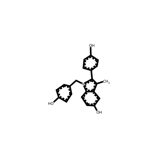 Cc1c(-c2ccc(O)cc2)n(Cc2ccc(O)cc2)c2ccc(O)cc12